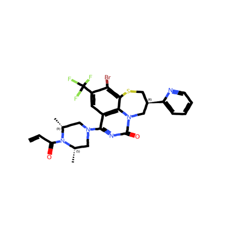 C=CC(=O)N1[C@H](C)CN(c2nc(=O)n3c4c(c(Br)c(C(F)(F)F)cc24)SC[C@@H](c2ccccn2)C3)C[C@@H]1C